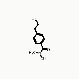 CN(C)C(=O)c1ccc(CCO)cc1